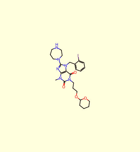 Cn1c(=O)n(CCCOC2CCCCO2)c(=O)c2c1nc(N1CCCNCC1)n2Cc1ccccc1I